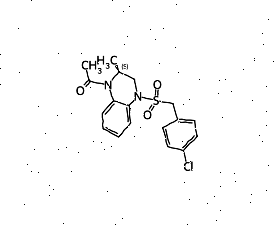 CC(=O)N1c2ccccc2N(S(=O)(=O)Cc2ccc(Cl)cc2)C[C@@H]1C